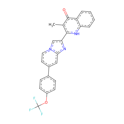 Cc1c(-c2cn3ccc(-c4ccc(OC(F)(F)F)cc4)cc3n2)[nH]c2ccccc2c1=O